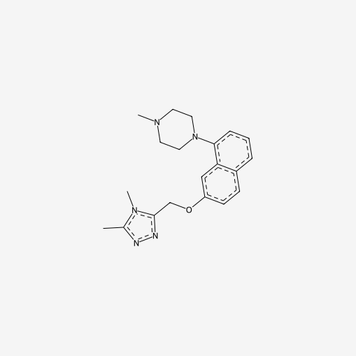 Cc1nnc(COc2ccc3cccc(N4CCN(C)CC4)c3c2)n1C